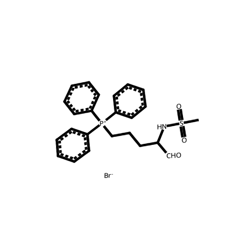 CS(=O)(=O)NC(C=O)CCC[P+](c1ccccc1)(c1ccccc1)c1ccccc1.[Br-]